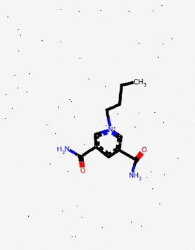 CCCC[n+]1cc(C(N)=O)cc(C(N)=O)c1